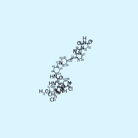 CC1(C)CCC2(CC1)N[C@@H](C(=O)N[C@H]1CC[C@H](CN3CCC(C#Cc4cccn5c(N6CCC(=O)NC6=O)cnc45)CC3)CC1)[C@H](c1ccnc(Cl)c1F)[C@]21C(=O)Nc2cc(Cl)ccc21